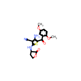 COc1ccc(OC)c(C(=O)c2sc(NC3CCOC3=O)c(C#N)c2N)c1